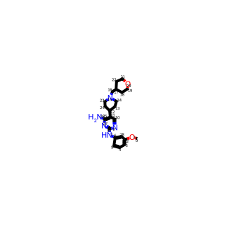 COc1cccc(Nc2ncc(C3CCN(CC4CCOCC4)CC3)c(N)n2)c1